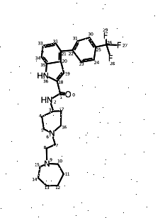 O=C(NC1CCN(CCN2CCCCCC2)CC1)c1cc2c(-c3ccc(C(F)(F)F)cc3)cccc2[nH]1